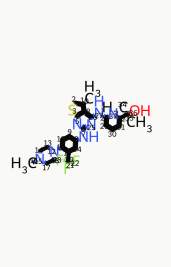 Cc1csc2nc(Nc3ccc(N4CCN(C)CC4)c(C(F)(F)F)c3)nc(Nc3cccc(C(C)(C)O)n3)c12